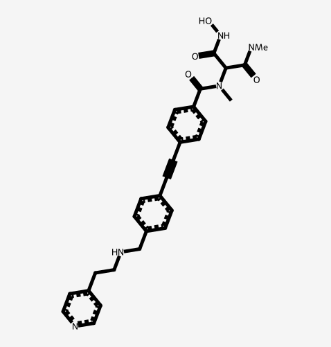 CNC(=O)C(C(=O)NO)N(C)C(=O)c1ccc(C#Cc2ccc(CNCCc3ccncc3)cc2)cc1